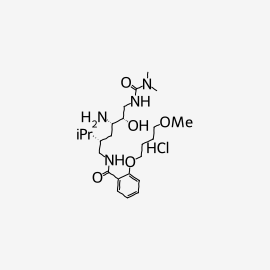 COCCCCOc1ccccc1C(=O)NC[C@@H](C[C@H](N)[C@@H](O)CNC(=O)N(C)C)C(C)C.Cl